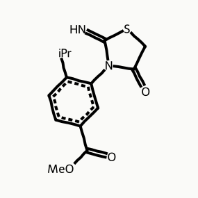 COC(=O)c1ccc(C(C)C)c(N2C(=N)SCC2=O)c1